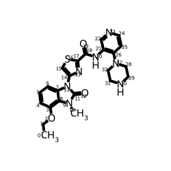 CCOc1cccc2c1n(C)c(=O)n2-c1csc(C(=O)Nc2cnccc2N2CCNCC2)n1